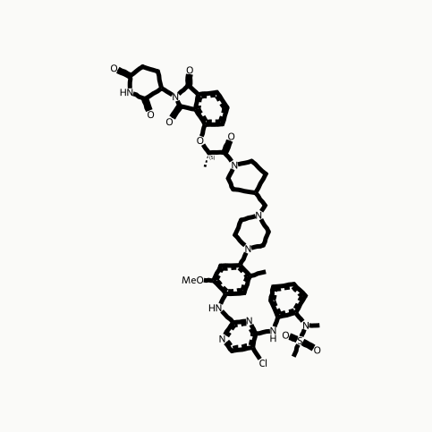 COc1cc(N2CCN(CC3CCN(C(=O)[C@H](C)Oc4cccc5c4C(=O)N(C4CCC(=O)NC4=O)C5=O)CC3)CC2)c(C)cc1Nc1ncc(Cl)c(Nc2ccccc2N(C)S(C)(=O)=O)n1